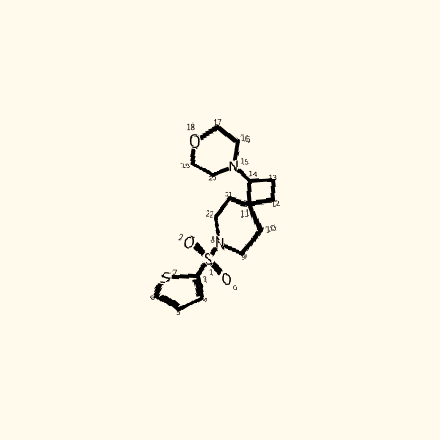 O=S(=O)(c1cccs1)N1CCC2(CCC2N2CCOCC2)CC1